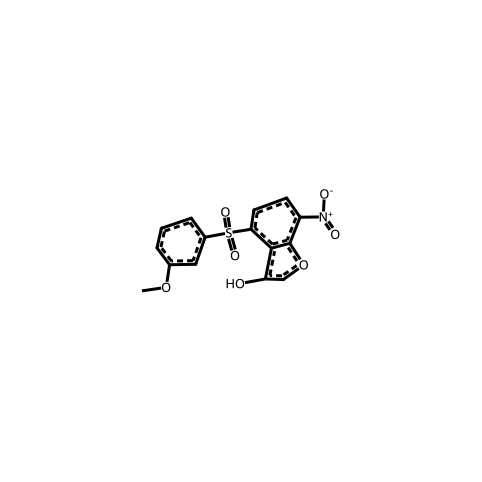 COc1cccc(S(=O)(=O)c2ccc([N+](=O)[O-])c3occ(O)c23)c1